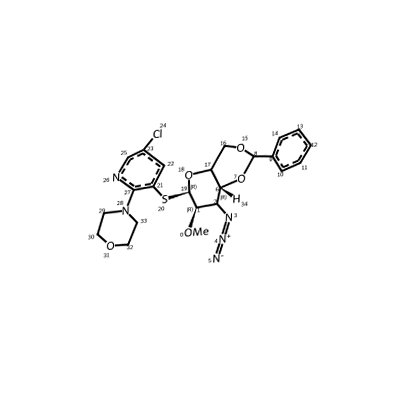 CO[C@@H]1C(N=[N+]=[N-])[C@H]2OC(c3ccccc3)OCC2O[C@@H]1Sc1cc(Cl)cnc1N1CCOCC1